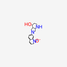 [O-][n+]1cccc2ccc(N3CC4NCCC(O)C4C3)cc21